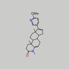 COc1ccc(C2=CCC3C4CC=C5N(C)C(=O)CCC5(C)C4CCC23C)cn1